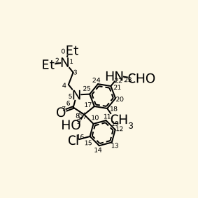 CCN(CC)CCN1C(=O)[C@@](O)(c2ccccc2Cl)c2c(C)cc(NC=O)cc21